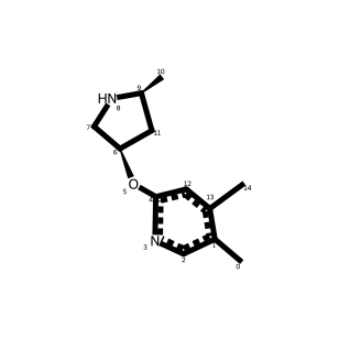 Cc1cnc(O[C@H]2CN[C@@H](C)C2)cc1C